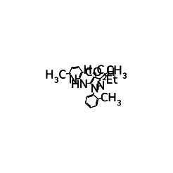 CCC(C)(C)c1cc(Nc2nc(C)ccc2C(=O)O)n(-c2ccccc2C)n1